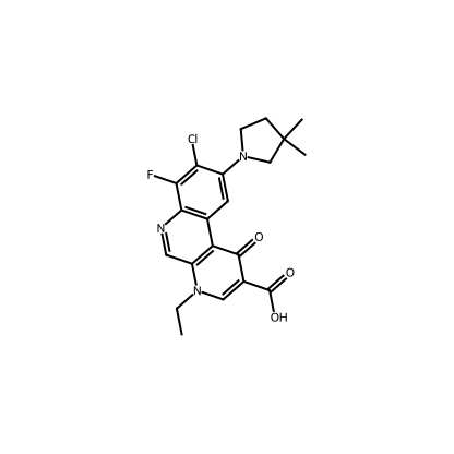 CCn1cc(C(=O)O)c(=O)c2c3cc(N4CCC(C)(C)C4)c(Cl)c(F)c3ncc21